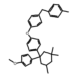 COc1ccc(C2(c3ccc(Oc4ccc(Cc5ccc(C)cc5)cc4)cc3)CC(C)CC(C)(C)C2)cc1